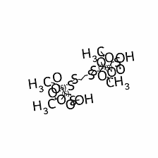 CC(=O)O[C@H](CSSCCSSC[C@@H](OC(C)=O)[C@@H](CS(=O)O)OC(C)=O)[C@@H](CS(=O)O)OC(C)=O